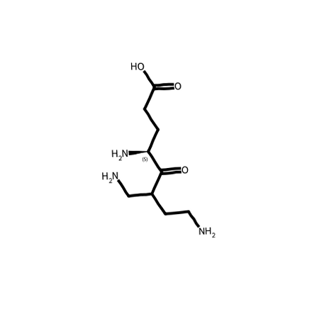 NCCC(CN)C(=O)[C@@H](N)CCC(=O)O